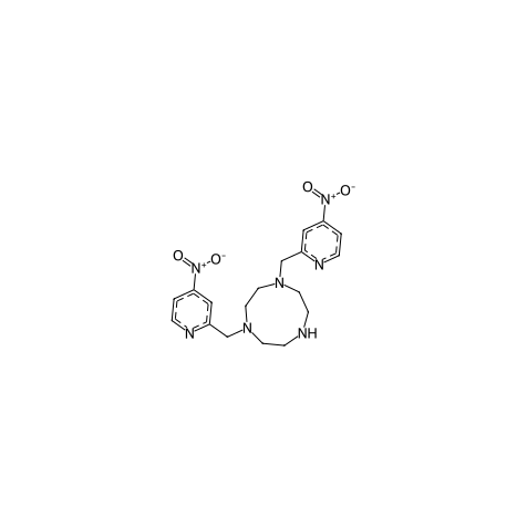 O=[N+]([O-])c1ccnc(CN2CCNCCN(Cc3cc([N+](=O)[O-])ccn3)CC2)c1